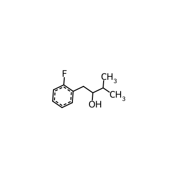 CC(C)C(O)Cc1ccccc1F